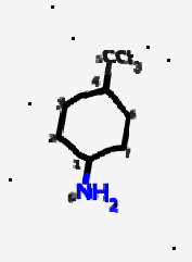 NC1CCC(C(Cl)(Cl)Cl)CC1